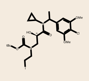 COc1cc(C(C)N(C(=O)[C@H](O)CN(CCI)C(=O)OC(C)(C)C)C2CC2)cc(OC)c1Cl